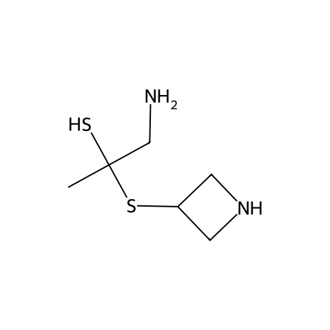 CC(S)(CN)SC1CNC1